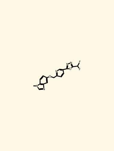 Cn1cnc2cc(OCc3ccc(-c4nnc(C(F)F)o4)cn3)ccc21